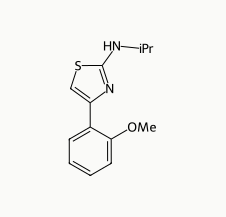 COc1ccccc1-c1csc(NC(C)C)n1